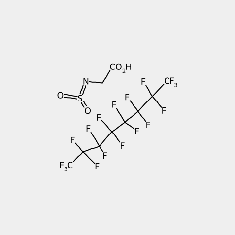 FC(F)(F)C(F)(F)C(F)(F)C(F)(F)C(F)(F)C(F)(F)C(F)(F)C(F)(F)F.O=C(O)CN=S(=O)=O